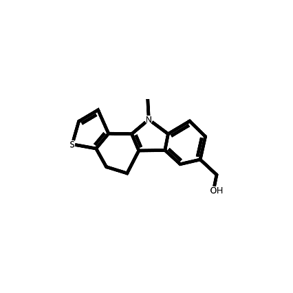 Cn1c2c(c3cc(CO)ccc31)CCc1sccc1-2